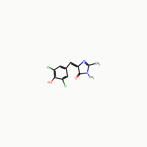 CC1=NC(=Cc2cc(Cl)c(O)c(Cl)c2)C(=O)N1C